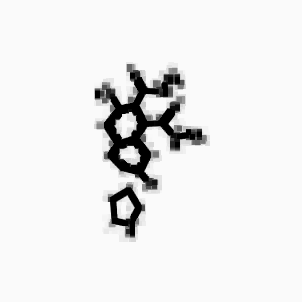 C1CCNC1.CCc1ccc2cc(N)c(C(=O)NN)c(C(=O)NN)c2c1